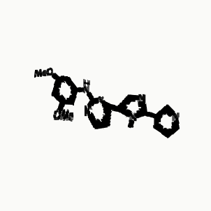 COc1cc(Nc2nccc(-c3cnc(-c4cccnc4)n3C)n2)cc(OC)c1